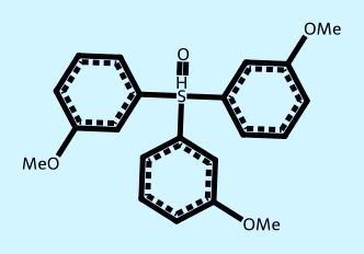 COc1cccc([SH](=O)(c2cccc(OC)c2)c2cccc(OC)c2)c1